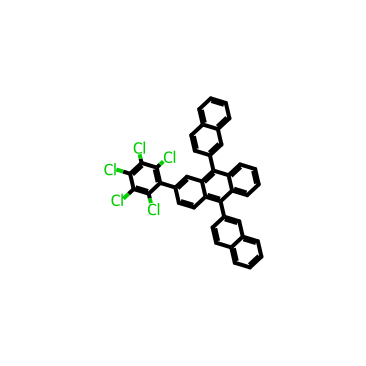 Clc1c(Cl)c(Cl)c(-c2ccc3c(-c4ccc5ccccc5c4)c4ccccc4c(-c4ccc5ccccc5c4)c3c2)c(Cl)c1Cl